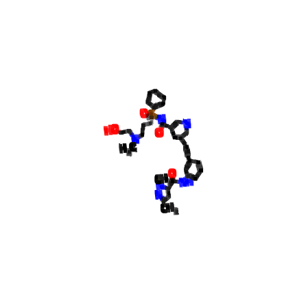 Cc1cc(C(=O)Nc2cccc(C#Cc3cncc(C(=O)N=[S@](=O)(CCCN(C)CCO)c4ccccc4)c3)c2)n(C)n1